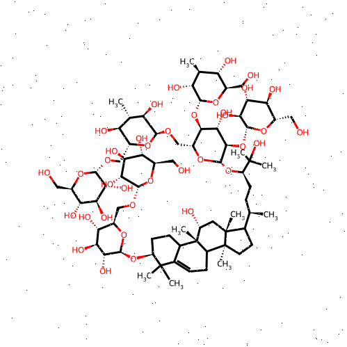 C[C@@H]1[C@@H](O)[C@@H](OC[C@H]2O[C@@H](O[C@H](CC[C@@H](C)C3CC[C@@]4(C)C5CC=C6C(CC[C@H](O[C@@H]7O[C@H](CO[C@H]8O[C@H](CO)[C@@H](O)[C@H](O)[C@H]8O)[C@@H](O)[C@H](O)[C@H]7O)C6(C)C)[C@]5(C)[C@H](O)C[C@]34C)C(C)(C)O)[C@H](O[C@H]3O[C@@H](CO)[C@H](O)[C@@H](O)[C@@H]3O)[C@@H](O)[C@@H]2O[C@H]2O[C@H](CO)[C@@H](O)[C@H](C)[C@H]2O)O[C@H](CO[C@H]2O[C@H](CO)[C@@H](O)[C@H](O)[C@H]2O)[C@H]1O